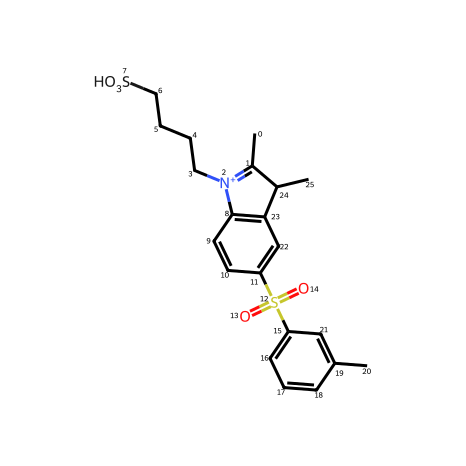 CC1=[N+](CCCCS(=O)(=O)O)c2ccc(S(=O)(=O)c3cccc(C)c3)cc2C1C